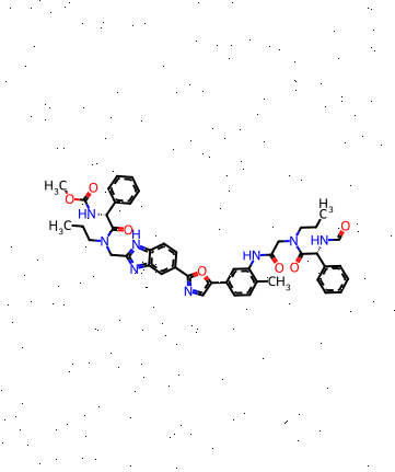 CCCN(CC(=O)Nc1cc(-c2cnc(-c3ccc4[nH]c(CN(CCC)C(=O)[C@H](NC(=O)OC)c5ccccc5)nc4c3)o2)ccc1C)C(=O)[C@H](NC=O)c1ccccc1